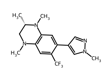 C[C@H]1CN(C)c2cc(C(F)(F)F)c(-c3cnn(C)c3)cc2N1C